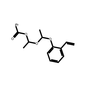 C=Cc1ccccc1OC(C)OC(C)OC(=O)C(C)C